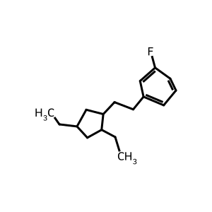 CCC1CC(CC)C(CCc2cccc(F)c2)C1